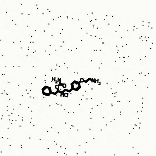 Cl.NCCOc1ccc(CCCC(Cc2ccccc2)OC(N)=O)cc1